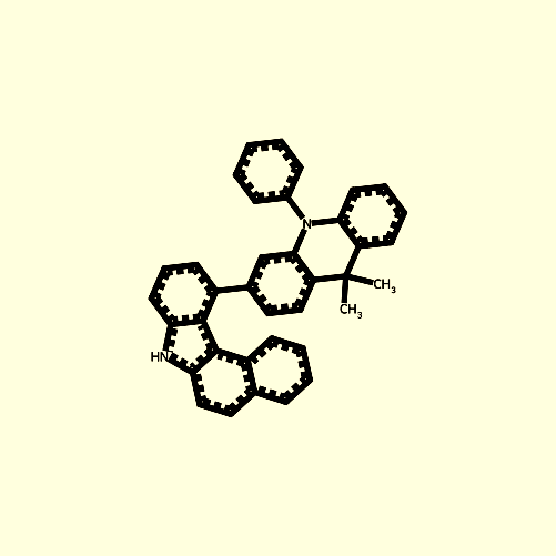 CC1(C)c2ccccc2N(c2ccccc2)c2cc(-c3cccc4[nH]c5ccc6ccccc6c5c34)ccc21